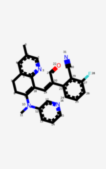 Cc1cnc2c(c1)CCC(N(C)c1cccnc1)=C2/C=C(\C=O)c1cccc(F)c1C#N